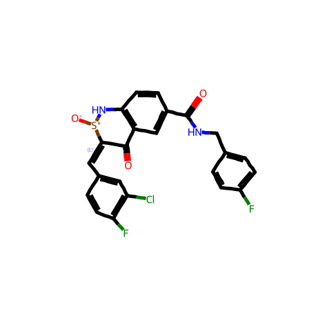 O=C(NCc1ccc(F)cc1)c1ccc2c(c1)C(=O)/C(=C\c1ccc(F)c(Cl)c1)[S+]([O-])N2